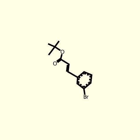 CC(C)(C)OC(=O)C=Cc1cccc(Br)c1